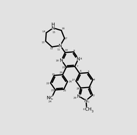 Cn1cc2ccc(-c3ncc(N4CCCNCC4)nc3-c3ccc(C#N)cc3)cc2n1